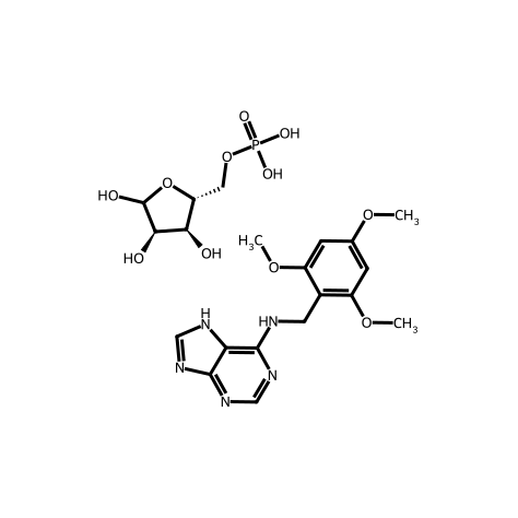 COc1cc(OC)c(CNc2ncnc3nc[nH]c23)c(OC)c1.O=P(O)(O)OC[C@H]1OC(O)[C@H](O)[C@@H]1O